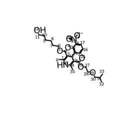 CC1=C(C(=O)OCCCCCCO)C(c2cccc([N+](=O)[O-])c2)C(C(=O)OCCOCC(C)C)=C(C)N1